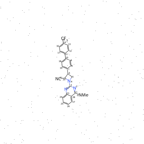 CNc1nc(N2CC(c3ccc(-c4ccc(C(F)(F)F)cc4)cc3)C2C#N)nc2ccccc12